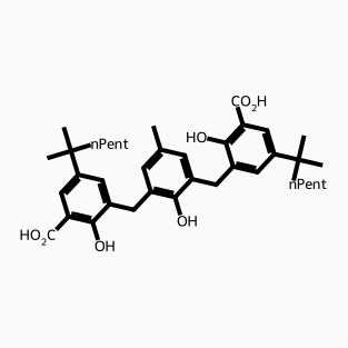 CCCCCC(C)(C)c1cc(Cc2cc(C)cc(Cc3cc(C(C)(C)CCCCC)cc(C(=O)O)c3O)c2O)c(O)c(C(=O)O)c1